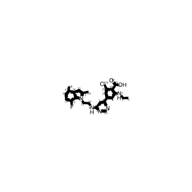 CCNc1cc(-c2cc(NCCn3c(C)cc4c(C)ccc(F)c43)ncn2)cc(Cl)c1C(=O)O